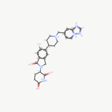 O=C1CCC(N2Cc3cc(C4CCN(Cc5ccn6ncnc6c5)CC4)c(F)cc3C2=O)C(=O)N1